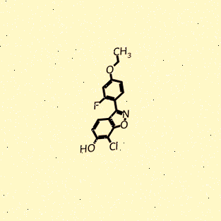 CCOc1ccc(-c2noc3c(Cl)c(O)ccc23)c(F)c1